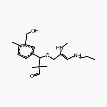 CCCN/C=C(/COC(c1ccc(C)c(CO)c1)C(C)(C)C=O)NC